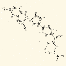 CN(C)[C@@H]1CCCN(C(=O)c2ccc(-n3cc(-c4cc5ccc(F)cc5[nH]c4=O)nn3)cc2)C1